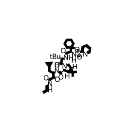 C=CCNC(=O)C(=O)C(CC1CC1)NC(=O)[C@@H]1[C@@H]2[C@H](CN1C(=O)[C@@H](NC(=O)[C@@H](NS(=O)(=O)c1ccccn1)C1(C)CCCCC1)C(C)(C)C)C2(C)C